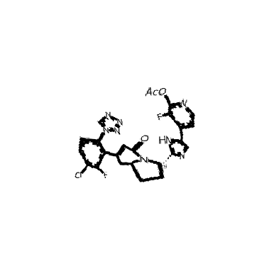 CC(=O)Oc1nccc(-c2cnc([C@@H]3CCC4CC(c5c(-n6cnnn6)ccc(Cl)c5F)=CC(=O)N43)[nH]2)c1F